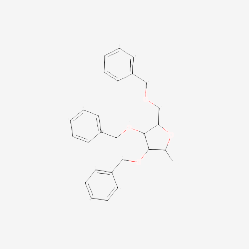 CC(C)(C)C1OC(COCc2ccccc2)C(OCc2ccccc2)C1OCc1ccccc1